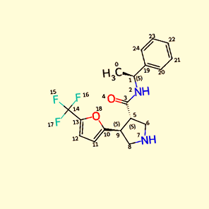 C[C@H](NC(=O)[C@@H]1CNC[C@H]1c1ccc(C(F)(F)F)o1)c1ccccc1